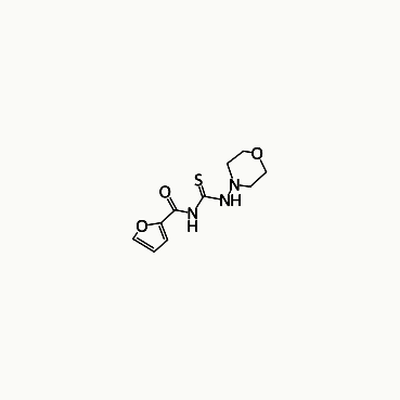 O=C(NC(=S)NN1CCOCC1)c1ccco1